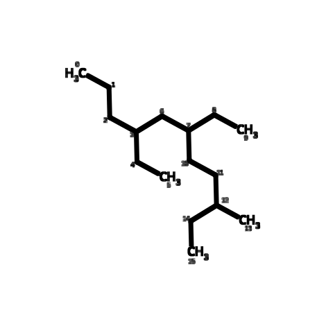 CCCC(CC)CC(CC)CCC(C)CC